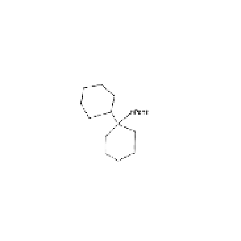 CCCCCC1([C]2CCCCC2)CCCCC1